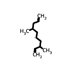 C=CCC(C)C[CH]CC(C)C=C